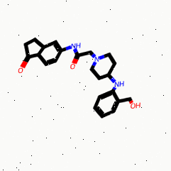 O=C(CN1CCC(Nc2ccccc2CO)CC1)NC1=CC2CCC(=O)C2C=C1